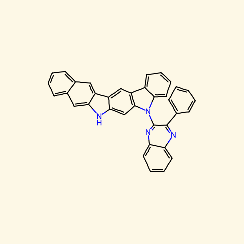 c1ccc(-c2nc3ccccc3nc2-n2c3ccccc3c3cc4c(cc32)[nH]c2cc3ccccc3cc24)cc1